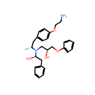 C[C@H](Cc1ccc(OCCN)cc1)N(C[C@H](O)COc1ccccc1)[C@H](O)Cc1ccccc1